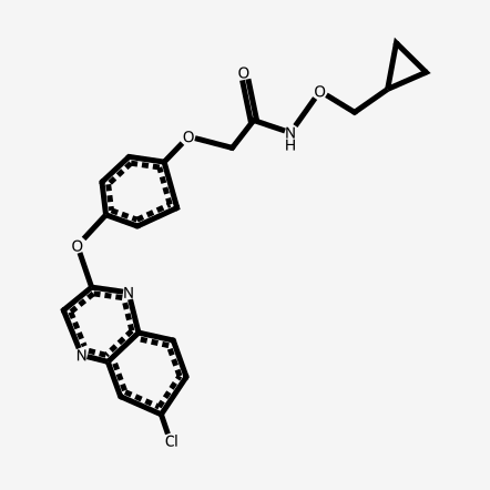 O=C(COc1ccc(Oc2cnc3cc(Cl)ccc3n2)cc1)NOCC1CC1